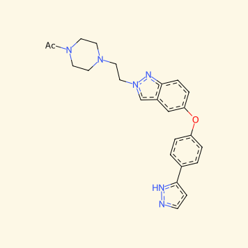 CC(=O)N1CCN(CCn2cc3cc(Oc4ccc(-c5ccn[nH]5)cc4)ccc3n2)CC1